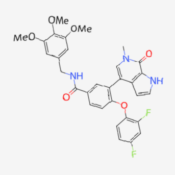 COc1cc(CNC(=O)c2ccc(Oc3ccc(F)cc3F)c(-c3cn(C)c(=O)c4[nH]ccc34)c2)cc(OC)c1OC